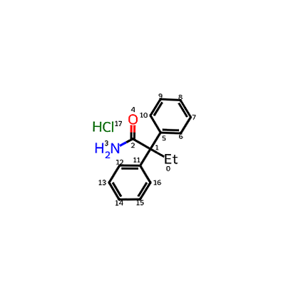 CCC(C(N)=O)(c1ccccc1)c1ccccc1.Cl